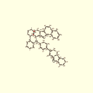 c1ccc(-c2ccccc2N(c2ccc(-c3ccc4c(c3)oc3ccccc34)cc2)c2cccc3c2oc2c4ccccc4ccc32)cc1